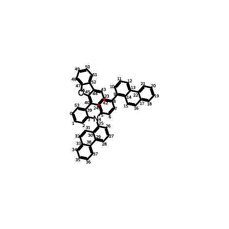 c1ccc(N(c2ccc(-c3cccc4c3ccc3ccccc34)cc2)c2cccc3c2ccc2ccccc23)c(-c2cccc3c2oc2ccccc23)c1